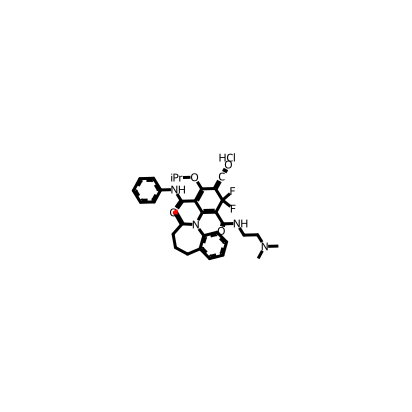 C=C1CCCc2ccccc2N1C1=C(C(=O)NCCN(C)C)C(F)(F)C(=C=O)C(OC(C)C)=C1C(=O)Nc1ccccc1.Cl